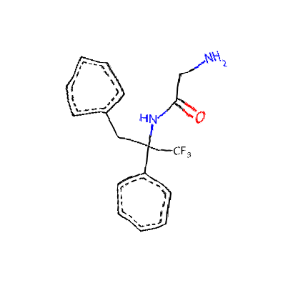 NCC(=O)NC(Cc1ccccc1)(c1ccccc1)C(F)(F)F